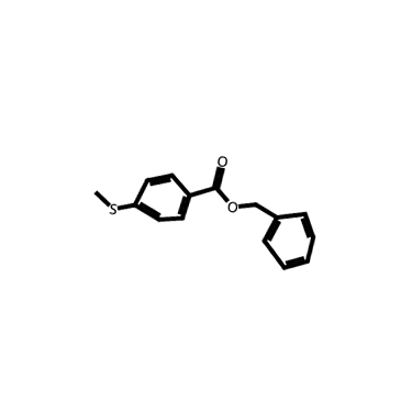 CSc1ccc(C(=O)OCc2ccccc2)cc1